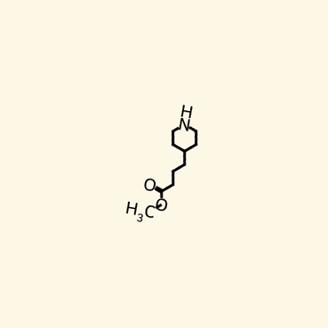 COC(=O)CCCC1CCNCC1